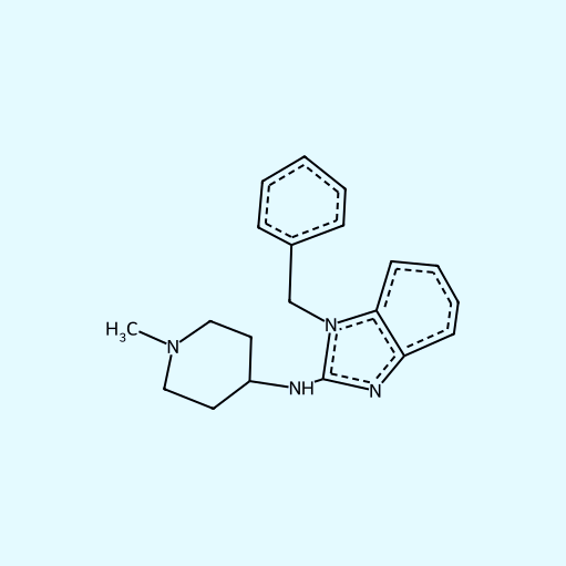 CN1CCC(Nc2nc3ccccc3n2Cc2ccccc2)CC1